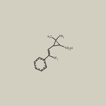 CC1(C)C(C=C(c2ccccc2)C(F)(F)F)C1C(=O)O